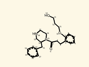 O=C(CCc1ccccc1OCCCO)N1CCNCC1Cc1ccccc1